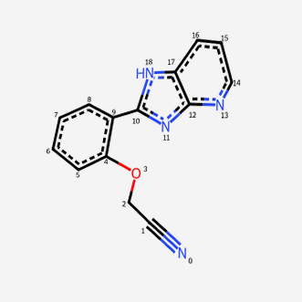 N#CCOc1ccccc1-c1nc2ncccc2[nH]1